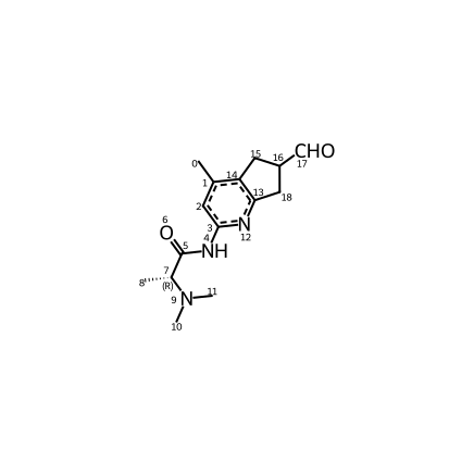 Cc1cc(NC(=O)[C@@H](C)N(C)C)nc2c1CC(C=O)C2